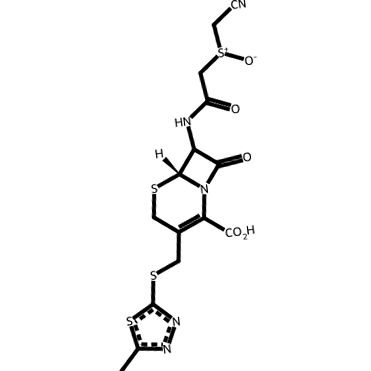 Cc1nnc(SCC2=C(C(=O)O)N3C(=O)C(NC(=O)C[S+]([O-])CC#N)[C@H]3SC2)s1